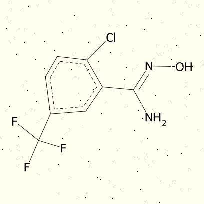 NC(=NO)c1cc(C(F)(F)F)ccc1Cl